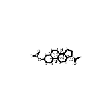 CC(=O)[C@H]1CC[C@H]2[C@@H]3CCC4CC(O[N+](=O)[O-])CC[C@]4(C)[C@H]3CC[C@]12C